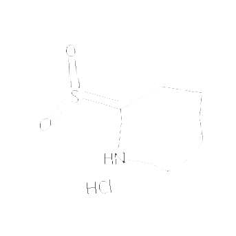 Cl.O=S(=O)=C1CCCCN1